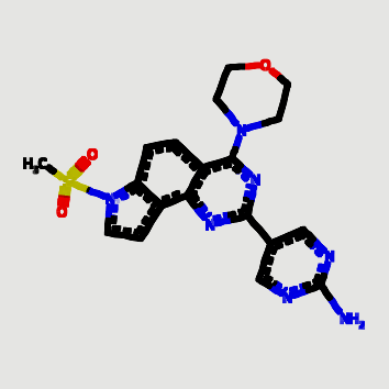 CS(=O)(=O)n1ccc2c3nc(-c4cnc(N)nc4)nc(N4CCOCC4)c3ccc21